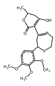 COc1ccc(C2CC(C3=C(O)CC(C)OC3=O)=NCCS2)c(OC)c1OC